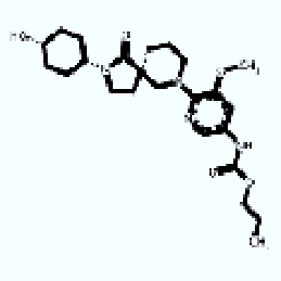 CCCOC(=O)Nc1cnc(N2CCC[C@@]3(CCN([C@H]4CC[C@@H](O)CC4)C3=O)C2)c(OC)c1